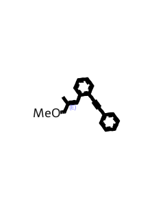 COC/C(C)=C/c1ccccc1C#Cc1ccccc1